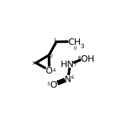 CCC1CO1.O=NNO